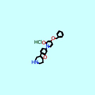 Cl.O=c1cc(OCc2ccccc2)ccn1-c1ccc2c3c(oc2c1)CCNCC3